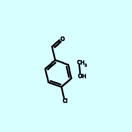 CO.O=Cc1ccc(Cl)cc1